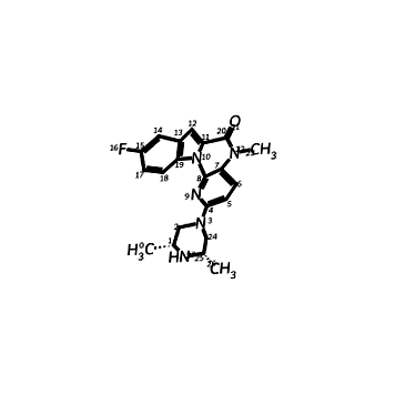 C[C@@H]1CN(c2ccc3c(n2)n2c(cc4cc(F)ccc42)c(=O)n3C)C[C@H](C)N1